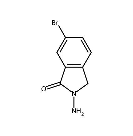 NN1Cc2ccc(Br)cc2C1=O